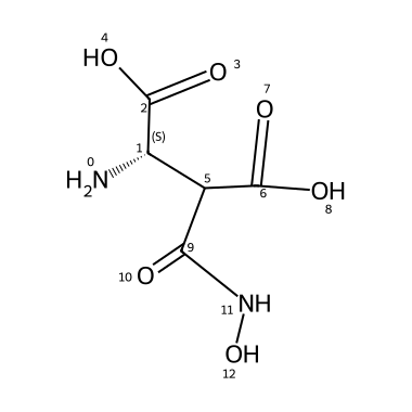 N[C@H](C(=O)O)C(C(=O)O)C(=O)NO